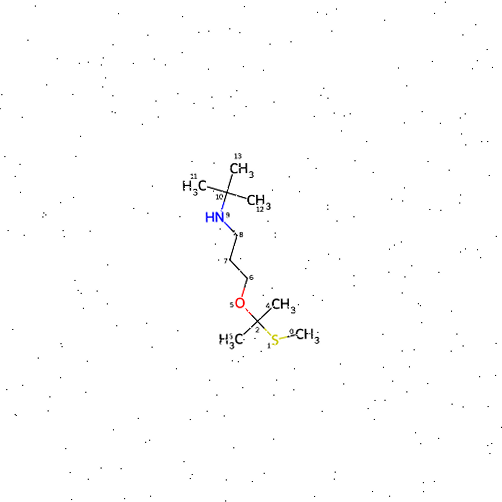 CSC(C)(C)OCCCNC(C)(C)C